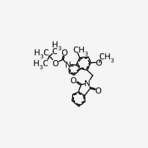 COc1cc(C)c2c(ccn2C(=O)OC(C)(C)C)c1CN1C(=O)c2ccccc2C1=O